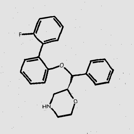 Fc1ccccc1-c1ccccc1OC(c1ccccc1)[C@@H]1CNCCO1